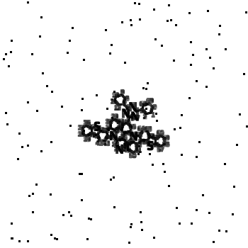 c1ccc(-c2nc(-c3ccccc3)nc(-c3ccc(-c4ccncc4-n4c5ccccc5c5c6sc7ccccc7c6ccc54)c(-n4c5ccccc5c5c6sc7ccccc7c6ccc54)c3)n2)cc1